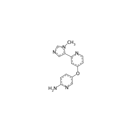 Cn1cncc1-c1cc(Oc2ccc(N)nc2)ccn1